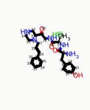 C[C@@H](NC(=O)[C@@H](N)Cc1ccc(O)cc1)C(=O)NCC(=O)C1CNCCN1CC=Cc1ccccc1.Cl